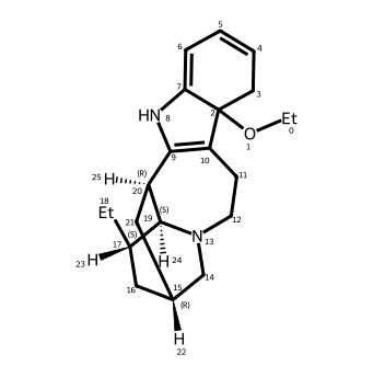 CCOC12CC=CC=C1NC1=C2CCN2C[C@@H]3C[C@H](CC)[C@H]2[C@H]1C3